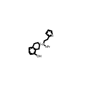 CCCN(CCc1cccs1)[C@H]1CCc2cccc(O)c2C1